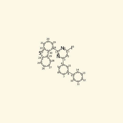 Ic1cc(-c2cccc(-c3ccccc3)c2)nc(-c2cccc3sc4ccccc4c23)n1